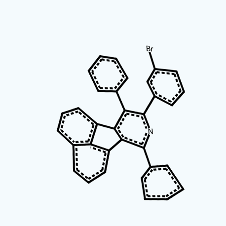 Brc1cccc(-c2nc(-c3ccccc3)c3c(c2-c2ccccc2)-c2cccc4cccc-3c24)c1